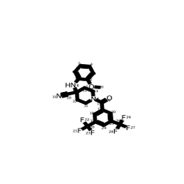 COc1ccccc1NC1(C#N)CCN(C(=O)c2cc(C(F)(F)F)cc(C(F)(F)F)c2)CC1